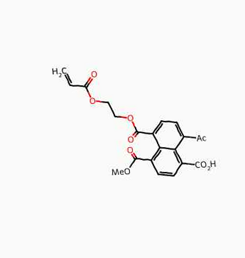 C=CC(=O)OCCOC(=O)c1ccc(C(C)=O)c2c(C(=O)O)ccc(C(=O)OC)c12